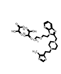 CCOCCn1c(CN2CCN(CCc3scnc3C)CC2)nc2cccnc21.O=C(O)C(=O)O.O=C(O)C(=O)O